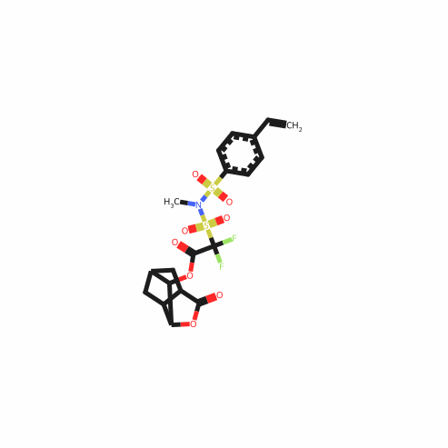 C=Cc1ccc(S(=O)(=O)N(C)S(=O)(=O)C(F)(F)C(=O)OC2C3CC4C(=O)OC2C4C3)cc1